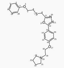 c1ccc(OCCSCc2nnc(-c3ccc(OCCN4CCCC4)cc3)o2)cc1